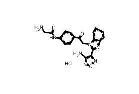 Cl.NCC(=O)Nc1ccc(C(=O)Cn2c(-c3nonc3N)nc3ccccc32)cc1